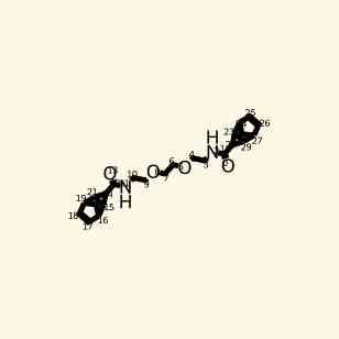 O=C(NCCOCCOCCNC(=O)C1C2C3C=CC(C3)C12)C1C2C3C=CC(C3)C12